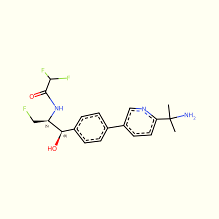 CC(C)(N)c1ccc(-c2ccc([C@@H](O)[C@@H](CF)NC(=O)C(F)F)cc2)cn1